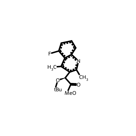 COC(=O)[C@@H](OC(C)(C)C)c1c(C)nc2cccc(F)c2c1C